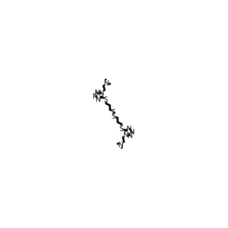 CN(C)CCn1nnnc1SCCCSSCCCSc1nnnn1CCN(C)C